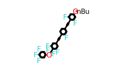 CCCCOc1cc(F)c(C#Cc2ccc(C#Cc3cc(F)c(C(F)(F)Oc4cc(F)c(F)c(F)c4)c(F)c3)c(F)c2)c(F)c1